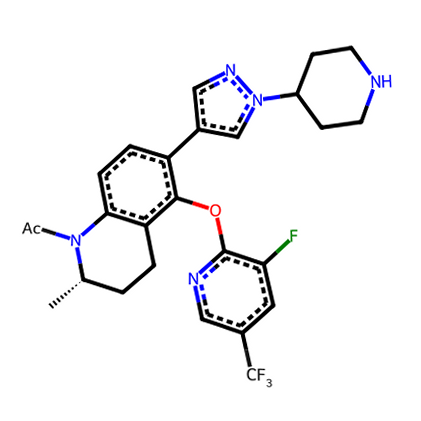 CC(=O)N1c2ccc(-c3cnn(C4CCNCC4)c3)c(Oc3ncc(C(F)(F)F)cc3F)c2CC[C@@H]1C